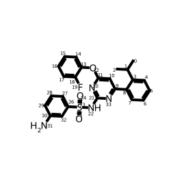 CC(C)c1ccccc1-c1cc(Oc2ccccc2F)nc(NS(=O)(=O)c2cccc(N)c2)n1